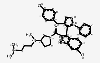 CN(C)CCCN(C)[C@@H]1CCN(C(=O)c2[nH]c3cc(Cl)ccc3c2-c2c(Cc3ccc(Cl)cc3)cnn2-c2ccccc2)C1